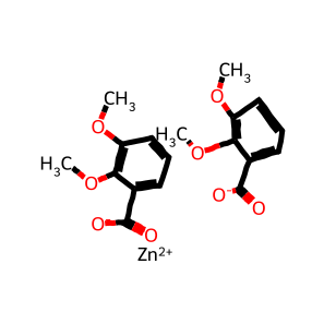 COc1cccc(C(=O)[O-])c1OC.COc1cccc(C(=O)[O-])c1OC.[Zn+2]